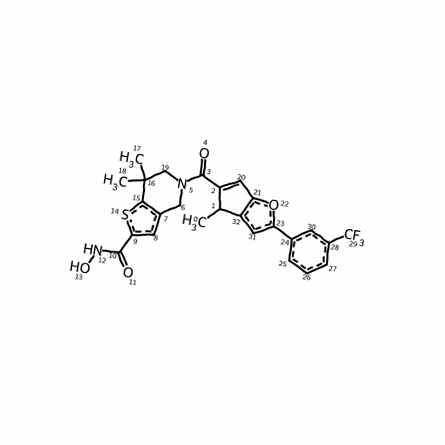 CC1C(C(=O)N2Cc3cc(C(=O)NO)sc3C(C)(C)C2)=Cc2oc(-c3cccc(C(F)(F)F)c3)cc21